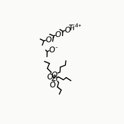 CC(C)[O-].CC(C)[O-].CC(C)[O-].CC(C)[O-].CCCC[O][Zr](=[O])([CH2]CCC)([CH2]CCC)[O]CCCC.[Ti+4]